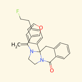 C=C(c1ccoc1)N1CCN2C(=O)c3ccccc3CC12c1ccc(CCF)cc1